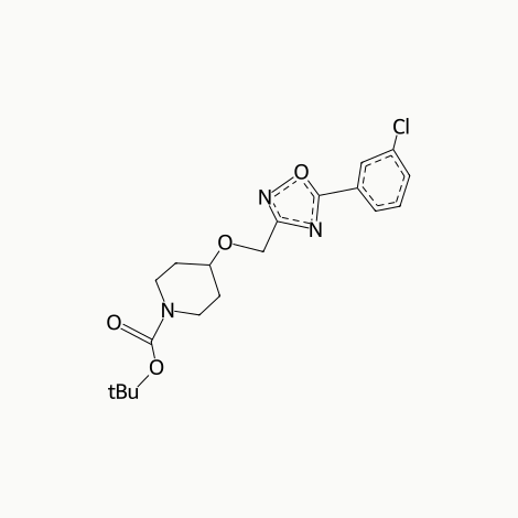 CC(C)(C)OC(=O)N1CCC(OCc2noc(-c3cccc(Cl)c3)n2)CC1